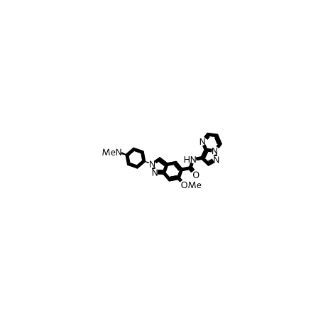 CN[C@H]1CC[C@H](n2cc3cc(C(=O)Nc4cnn5cccnc45)c(OC)cc3n2)CC1